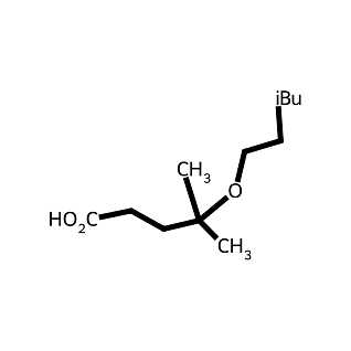 CCC(C)CCOC(C)(C)CCC(=O)O